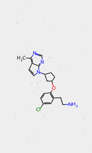 Cc1ncnc2c1ccn2C1CCC(Oc2ccc(Cl)cc2CCN)C1